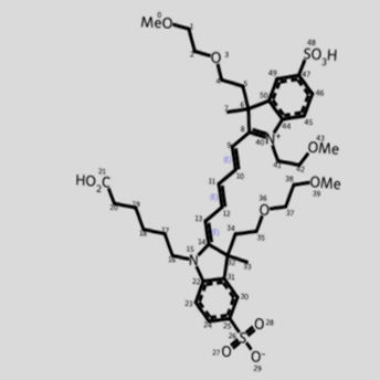 COCCOCCC1(C)C(/C=C/C=C/C=C2/N(CCCCCC(=O)O)c3ccc(S(=O)(=O)[O-])cc3C2(C)CCOCCOC)=[N+](CCOC)c2ccc(S(=O)(=O)O)cc21